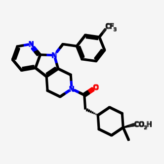 C[C@]1(C(=O)O)CC[C@H](CC(=O)N2CCc3c(n(Cc4cccc(C(F)(F)F)c4)c4ncccc34)C2)CC1